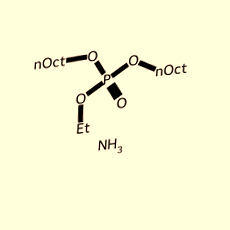 CCCCCCCCOP(=O)(OCC)OCCCCCCCC.N